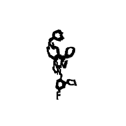 O=c1nc2n(c3c1CN(Cc1ccccc1)CC3)CCN2Cc1ccc(F)cc1Cl